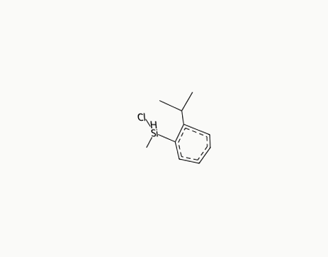 CC(C)c1ccccc1[SiH](C)Cl